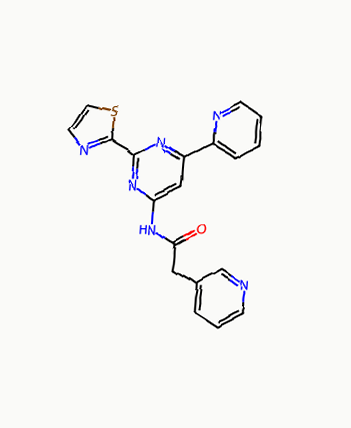 O=C(Cc1cccnc1)Nc1cc(-c2ccccn2)nc(-c2nccs2)n1